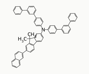 CC1(C)c2cc(-c3ccc4ccccc4c3)ccc2-c2ccc(N(c3ccc(-c4cccc(-c5ccccc5)c4)cc3)c3ccc(-c4cccc(-c5ccccc5)c4)cc3)cc21